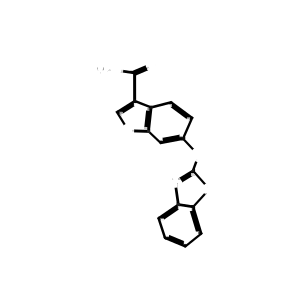 COC(=O)c1coc2cc(Oc3nc4ccccc4s3)ccc12